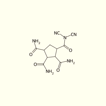 N#CN(C#N)C(=O)C1CC(C(N)=O)C(C(N)=O)C1C(N)=O